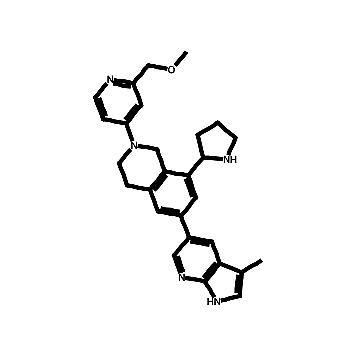 COCc1cc(N2CCc3cc(-c4cnc5[nH]cc(C)c5c4)cc(C4CCCN4)c3C2)ccn1